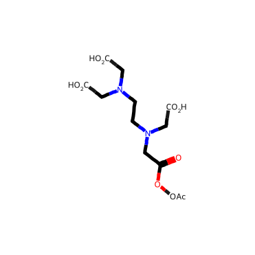 CC(=O)OOC(=O)CN(CCN(CC(=O)O)CC(=O)O)CC(=O)O